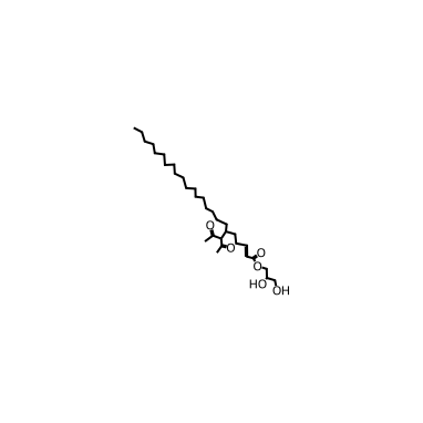 CCCCCCCCCCCCCCCCCCC(CC/C=C/C(=O)OCC(O)CO)C(C(C)=O)C(C)=O